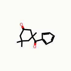 CC1(C)CC(=O)CC(C)(C(=O)c2ccccc2)C1